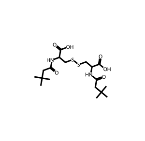 CC(C)(C)CC(=O)NC(CSSCC(NC(=O)CC(C)(C)C)C(=O)O)C(=O)O